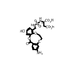 Cl.Nc1ccc2c(c1)CCCOc1c(CNS(=O)(=O)N[C@@H](CC(=O)O)C(=O)O)cccc1OC2=O